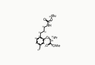 COC(=O)[C@H](Oc1cc(F)ccc1CCCNC(=O)OC(C)(C)C)C(C)C